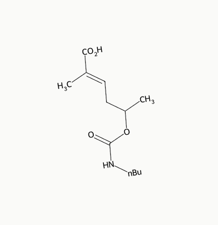 CCCCNC(=O)OC(C)CC=C(C)C(=O)O